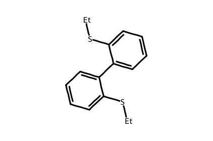 CCSc1ccccc1-c1ccccc1SCC